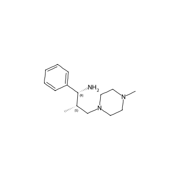 C[C@@H](CN1CCN(C)CC1)[C@@H](N)c1ccccc1